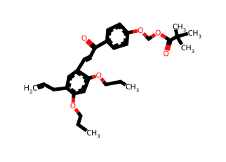 C=CCc1cc(C=CC(=O)c2ccc(OCOC(=O)C(C)(C)C)cc2)c(OCCC)cc1OCCC